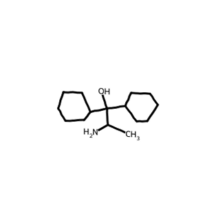 CC(N)C(O)(C1CCCCC1)C1CCCCC1